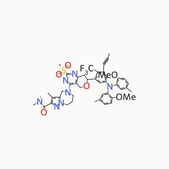 CC#Cc1cc(N(c2cc(C)ccc2OC)c2cc(C)ccc2OC)cc(C2Cc3nc(S(C)(=O)=O)nc(N4CCCn5nc(C(=O)N(C)C)c(C)c5C4)c3CO2)c1C(F)(F)F